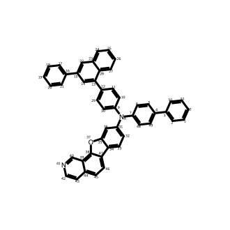 c1ccc(-c2ccc(N(c3ccc(-c4cc(-c5ccccc5)cc5ccccc45)cc3)c3ccc4c(c3)oc3c5cnccc5ccc43)cc2)cc1